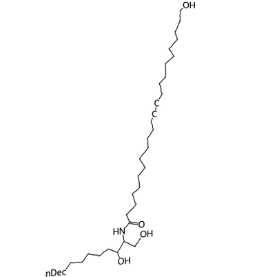 CCCCCCCCCCCCCCCC(O)C(CO)NC(=O)CCCCCCCCCCCCCCCCCCCCCCCO